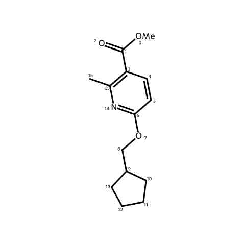 COC(=O)c1ccc(OCC2CCCC2)nc1C